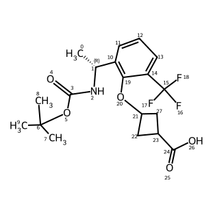 C[C@@H](NC(=O)OC(C)(C)C)c1cccc(C(F)(F)F)c1OC1CC(C(=O)O)C1